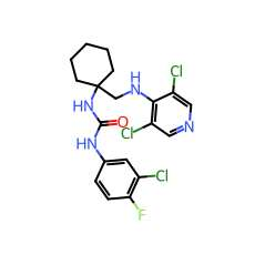 O=C(Nc1ccc(F)c(Cl)c1)NC1(CNc2c(Cl)cncc2Cl)CCCCC1